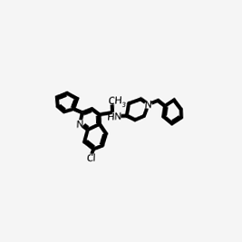 CC(NC1CCN(CC2=CC=CCC2)CC1)c1cc(-c2ccccc2)nc2cc(Cl)ccc12